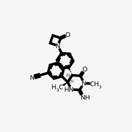 CN1C(=N)N[C@](C)(c2cccc(C#N)c2)[C@H](c2ccc(N3CCC3=O)cc2)C1=O